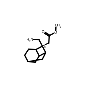 COC(=O)C[C@]1(CN)C2CCC3CC2C1C3